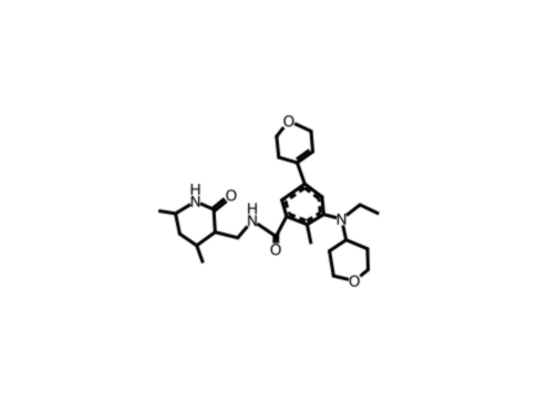 CCN(c1cc(C2=CCOCC2)cc(C(=O)NCC2C(=O)NC(C)CC2C)c1C)C1CCOCC1